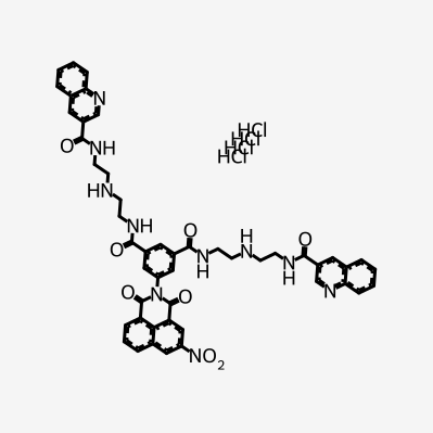 Cl.Cl.Cl.Cl.O=C(NCCNCCNC(=O)c1cnc2ccccc2c1)c1cc(C(=O)NCCNCCNC(=O)c2cnc3ccccc3c2)cc(N2C(=O)c3cccc4cc([N+](=O)[O-])cc(c34)C2=O)c1